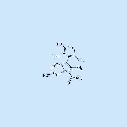 Cc1ccn2c(-c3c(C)ccc(O)c3C)c(N)c(C(N)=O)c2n1